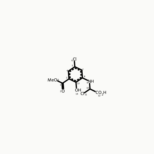 COC(=O)c1cc(Cl)cc(NC(Cl)C(=O)O)c1O